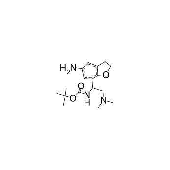 CN(C)CC(NC(=O)OC(C)(C)C)c1cc(N)cc2c1OCC2